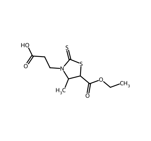 CCOC(=O)C1SC(=S)N(CCC(=O)O)C1C